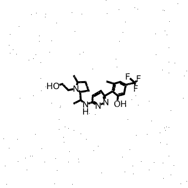 Cc1cc(C(F)(F)F)cc(O)c1-c1ccc(NC(C)C2CCC(C)N2CCO)nn1